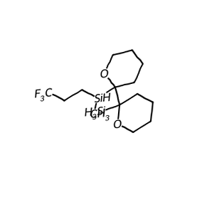 C[SiH](CCC(F)(F)F)C1(C2([SiH3])CCCCO2)CCCCO1